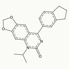 CC(C)n1c(=O)nc(-c2ccc3c(c2)CCC3)c2cc3c(cc21)OCO3